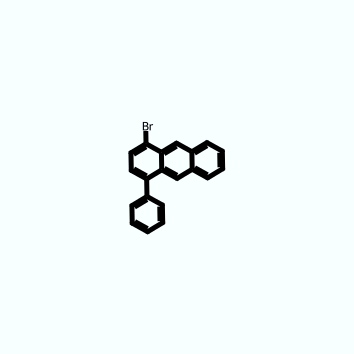 Brc1ccc(-c2ccccc2)c2cc3ccccc3cc12